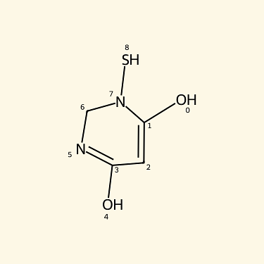 OC1=CC(O)=NCN1S